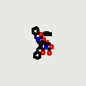 CC(C)[C@H]1COC(=O)N1C(=O)[C@H](Cc1ccccc1)[C@H](O)CN(Cc1ccccc1)C(=O)OC(C)(C)C